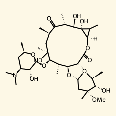 CO[C@]1(C)C[C@H](O[C@H]2[C@H](C)[C@@H](O[C@@H]3O[C@H](C)C[C@H](N(C)C)[C@H]3O)[C@@](C)(O)C[C@@H](C)C(=O)[C@H](C)[C@@H](O)[C@@]3(O)C(C)[C@H]3OC(=O)[C@@H]2C)O[C@@H](C)[C@@H]1O